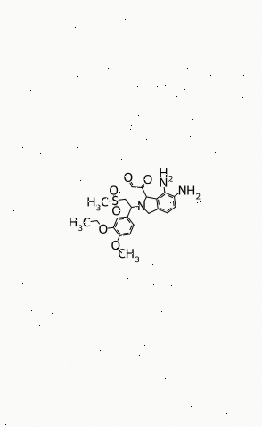 CCOc1cc(C(CS(C)(=O)=O)N2Cc3ccc(N)c(N)c3C2C(=O)C=O)ccc1OC